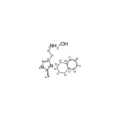 Cl.NCCC1=C[N]C(=S)N1[C@H]1CCc2ccccc2C1